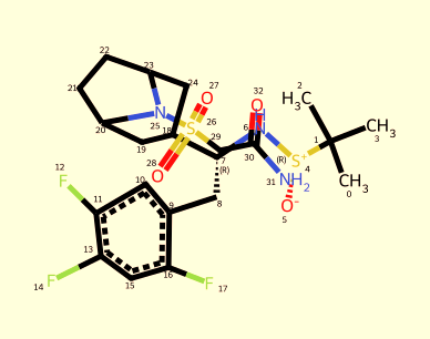 CC(C)(C)[S@+]([O-])N[C@H](Cc1cc(F)c(F)cc1F)C1CC2CCC(C1)N2S(=O)(=O)CC(N)=O